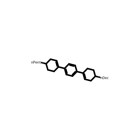 CCCCCCCCCCC1CC=C(c2ccc(C3=CCC(CCCCC)CC3)cc2)CC1